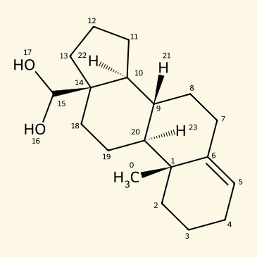 C[C@]12CCCC=C1CC[C@H]1[C@@H]3CCC[C@@]3(C(O)O)CC[C@@H]12